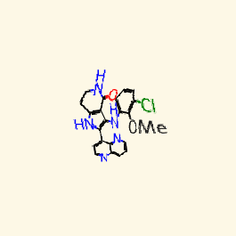 COc1c(Cl)cccc1Nc1c(-c2ccnc3cccnc23)[nH]c2c1C(=O)NCC2